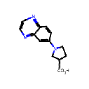 O=C(O)C1CCN(c2ccc3nccnc3c2)C1